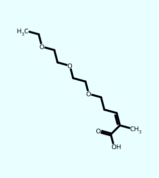 CCOCCOCCOCCC=C(C)C(=O)O